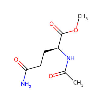 COC(=O)[C@H](CCC(N)=O)NC(C)=O